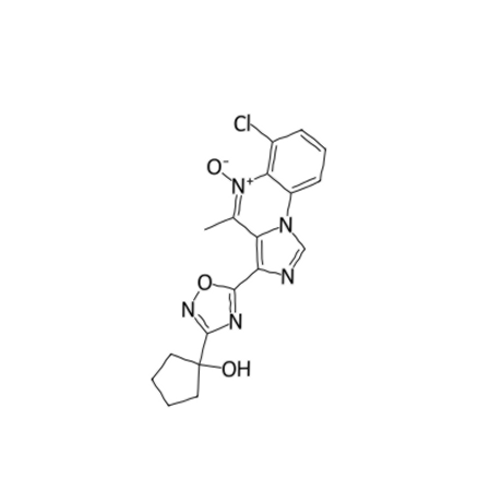 Cc1c2c(-c3nc(C4(O)CCCC4)no3)ncn2c2cccc(Cl)c2[n+]1[O-]